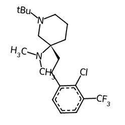 CN(C)[C@@]1(CCc2cccc(C(F)(F)F)c2Cl)CCCN(C(C)(C)C)C1